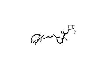 CN(C(=O)CC(F)(F)F)c1cccc(CCCC[Si]2(C)CCCCO[SiH](C)O2)c1